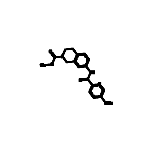 COc1ccc(C(=O)Nc2ccc3c(c2)CN(C(=O)OC(C)(C)C)CC3)nc1